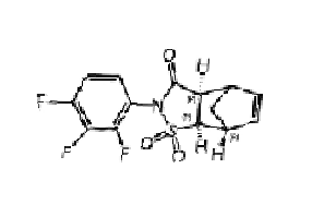 O=C1[C@H]2C3C=C[C@@H](C3)[C@H]2S(=O)(=O)N1c1ccc(F)c(F)c1F